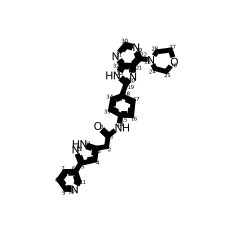 O=C(Cc1cc(-c2cccnc2)n[nH]1)Nc1ccc(-c2nc3c(N4CCOCC4)ncnc3[nH]2)cc1